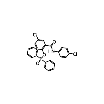 O=C(Nc1ccc(Cl)cc1)c1cc(Cl)ccc1OP(=O)(c1ccccc1)c1ccccc1